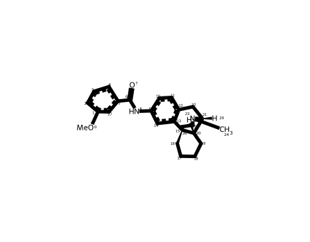 COc1cccc(C(=O)Nc2ccc3c(c2)[C@@]24CCCC[C@H]2[C@@H](C3)N(C)CC4)c1